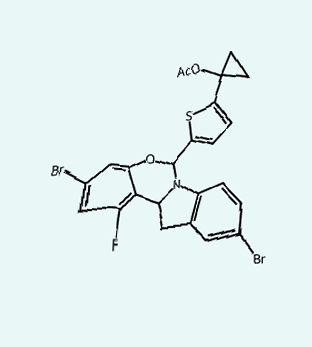 CC(=O)OC1(c2ccc(C3Oc4cc(Br)cc(F)c4C4Cc5cc(Br)ccc5N43)s2)CC1